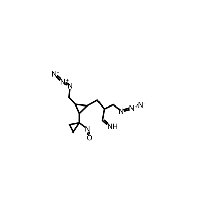 [N-]=[N+]=NCC(C=N)CC1C(CN=[N+]=[N-])C1C1(N=O)CC1